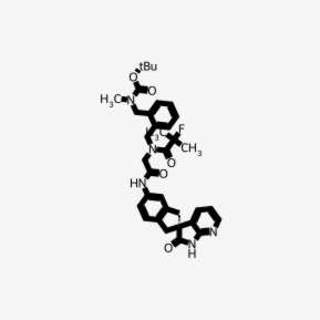 CN(Cc1ccccc1CN(CC(=O)Nc1ccc2c(c1)C[C@@]1(C2)C(=O)Nc2ncccc21)C(=O)C(C)(C)F)C(=O)OC(C)(C)C